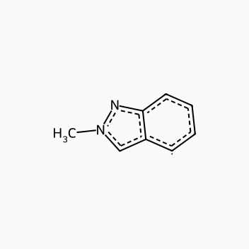 Cn1cc2[c]cccc2n1